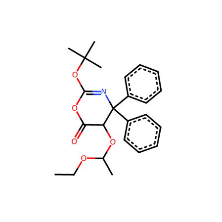 CCOC(C)OC1C(=O)OC(OC(C)(C)C)=NC1(c1ccccc1)c1ccccc1